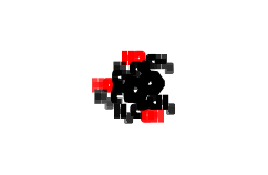 CC(C)(O)c1cc(C(C)(C)O)c2cccc(C(C)(C)O)c2c1